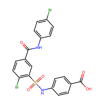 O=C(O)c1ccc(NS(=O)(=O)c2cc(C(=O)Nc3ccc(Br)cc3)ccc2Br)cc1